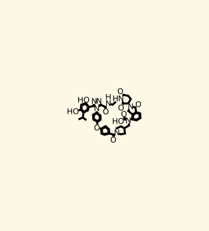 CCNC(=O)c1nnc(-c2cc(C(C)C)c(O)cc2O)n1-c1ccc(Oc2ccc(C(=O)N3CCC(CN(C(=O)O)c4cccc5c4CN(C4CCC(=O)NC4=O)C5=O)CC3)cc2)cc1